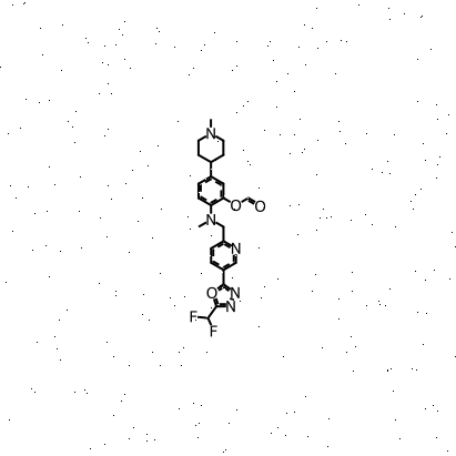 CN1CCC(c2ccc(N(C)Cc3ccc(-c4nnc(C(F)F)o4)cn3)c(OC=O)c2)CC1